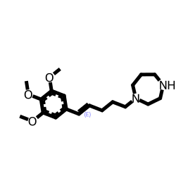 COc1cc(/C=C/CCCN2CCCNCC2)cc(OC)c1OC